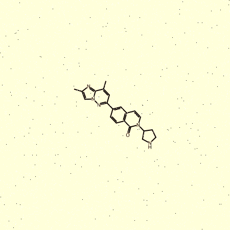 Cc1cn2nc(-c3ccc4c(=O)n(C5CCNC5)ccc4c3)cc(C)c2n1